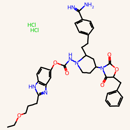 CCOCCCc1nc2cc(OC(=O)NN3CCC(N4C(=O)OC(Cc5ccccc5)C4=O)CC3CCc3ccc(C(=N)N)cc3)ccc2[nH]1.Cl.Cl